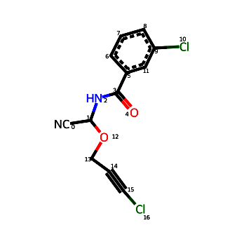 N#CC(NC(=O)c1cccc(Cl)c1)OCC#CCl